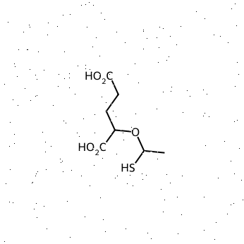 CC(S)OC(CCC(=O)O)C(=O)O